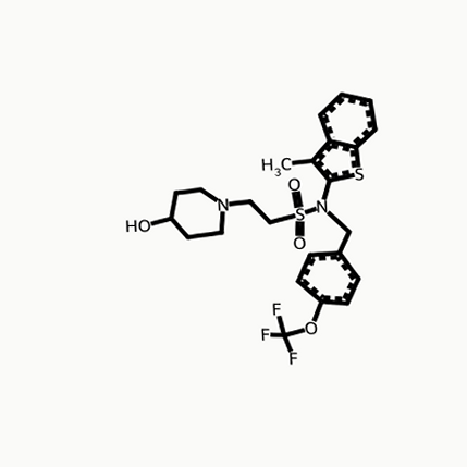 Cc1c(N(Cc2ccc(OC(F)(F)F)cc2)S(=O)(=O)CCN2CCC(O)CC2)sc2ccccc12